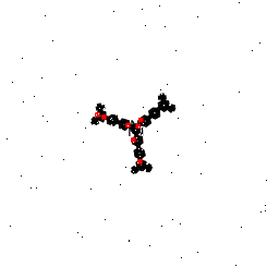 CC(C)(C)c1cc(-c2ccc(-c3ccc(-c4nc(-c5ccc(-c6ccc(-c7cc(C(C)(C)C)cc(C(C)(C)C)c7)cc6)cc5)nc(-c5ccc(-c6ccc(-c7cc(C(C)(C)C)cc(C(C)(C)C)c7)cc6)cc5)n4)cc3)cc2)cc(C(C)(C)C)c1